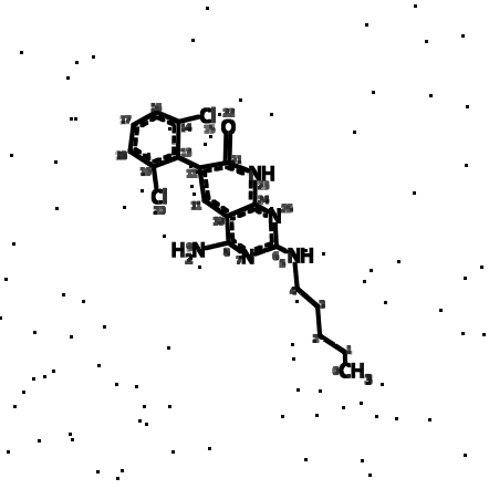 CCCCCNc1nc(N)c2cc(-c3c(Cl)cccc3Cl)c(=O)[nH]c2n1